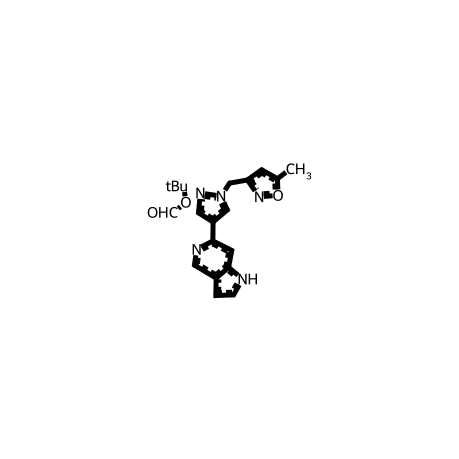 CC(C)(C)OC=O.Cc1cc(Cn2cc(-c3cc4[nH]ccc4cn3)cn2)no1